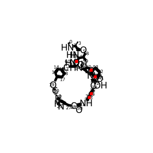 CN[C@@H](C)C(=O)N[C@H](C(=O)N[C@H]1Cc2ccc(cc2)OCCn2cc(nn2)CCC(=O)Nc2ccc(cc2)C[C@@H](C(=O)O)NC(=O)[C@H](Cc2ccccc2)NC1=O)C(C)C